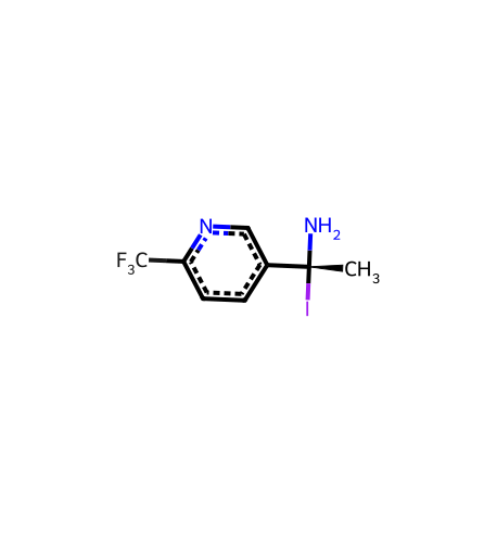 C[C@@](N)(I)c1ccc(C(F)(F)F)nc1